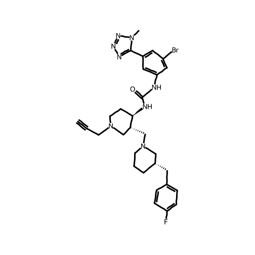 C#CCN1CC[C@@H](NC(=O)Nc2cc(Br)cc(-c3nnnn3C)c2)[C@H](CN2CCC[C@@H](Cc3ccc(F)cc3)C2)C1